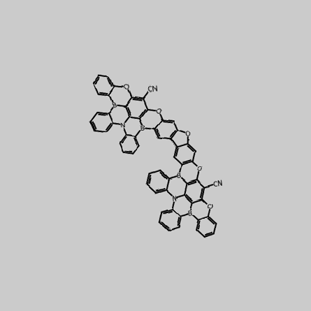 N#Cc1c2c3c4c5c1Oc1cc6oc7cc8c(cc7c6cc1B5c1ccccc1N4c1ccccc1B3c1ccccc1O2)B1c2ccccc2N2c3ccccc3B3c4ccccc4Oc4c(C#N)c(c1c2c43)O8